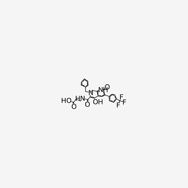 O=C(O)CCNC(=O)C1=C(O)c2cc(-c3ccc(C(F)(F)F)cc3)c(=O)[nH]c2CN1Cc1ccccc1